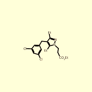 CCOC(=O)CCn1nc(CC)c(Cc2cc(Cl)cc(Cl)c2)c1CC